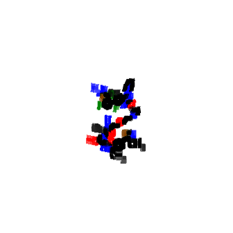 Cc1ncsc1-c1ccc([C@H](C)NC(=O)[C@@H]2C[C@@H](O)CN2C(=O)[C@@H](NC(=O)CCOCCCN2CC[C@H]2COc2nc(N3CC4CCC(C3)N4)c3cc(Cl)c(-c4ccc(F)c5sc(N)c(C#N)c45)c(F)c3n2)C(C)(C)C)cc1